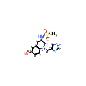 CS(=O)(=O)NC1Cc2cc(Br)ccc2N(Cc2c[nH]cn2)C1